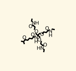 CCNC(=O)CCOCC(COCCC(=O)NCC)(COCCC(=O)NCC)NC(=O)CCCC(=O)C(C)C